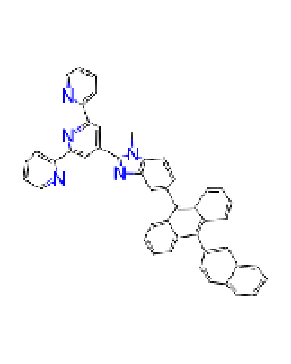 Cn1c(-c2cc(-c3ccccn3)nc(-c3ccccn3)c2)nc2cc(-c3c4ccccc4c(-c4ccc5ccccc5c4)c4ccccc34)ccc21